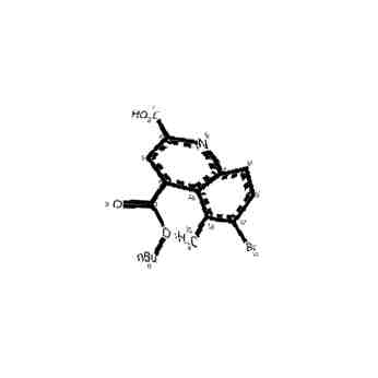 CCCCOC(=O)c1cc(C(=O)O)nc2ccc(Br)c(C)c12